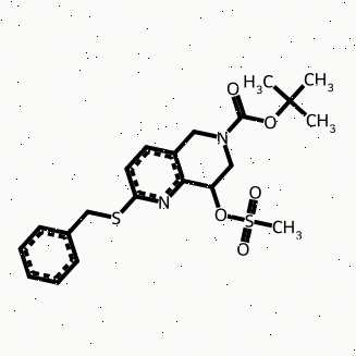 CC(C)(C)OC(=O)N1Cc2ccc(SCc3ccccc3)nc2C(OS(C)(=O)=O)C1